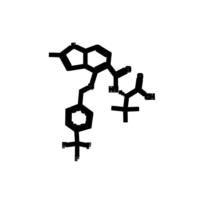 CC1=CC2C(OCc3ccc(C(F)(F)F)cc3)=C(C(=O)N[C@H](C(=O)O)C(C)(C)C)C=CC2S1